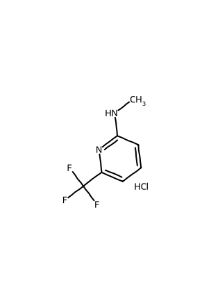 CNc1cccc(C(F)(F)F)n1.Cl